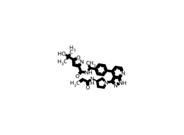 C=CC(=O)N[C@@H]1CCN(c2n[nH]c3nccc(-c4ccc(C(C)NC(=O)c5cc(C(C)(C)O)on5)cc4)c23)C1